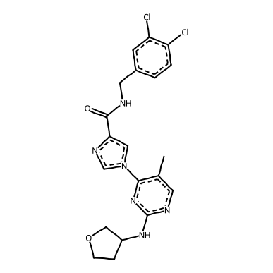 Cc1cnc(NC2CCOC2)nc1-n1cnc(C(=O)NCc2ccc(Cl)c(Cl)c2)c1